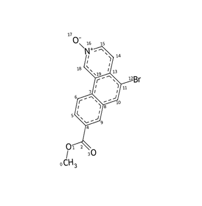 COC(=O)c1ccc2c(c1)cc(Br)c1cc[n+]([O-])cc12